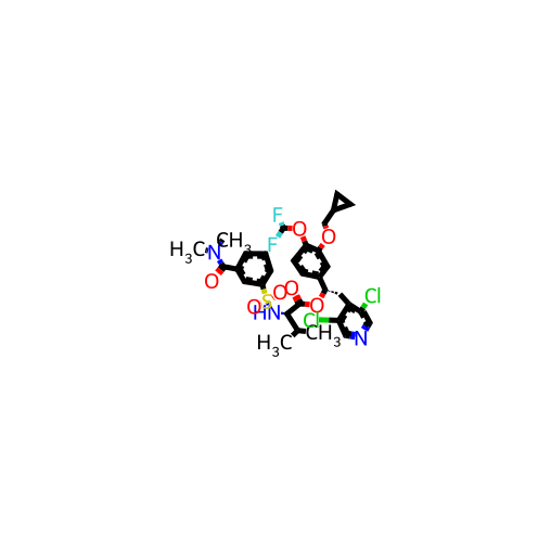 CC(C)[C@H](NS(=O)(=O)c1cccc(C(=O)N(C)C)c1)C(=O)O[C@@H](Cc1c(Cl)cncc1Cl)c1ccc(OC(F)F)c(OCC2CC2)c1